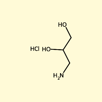 Cl.NCC(O)CO